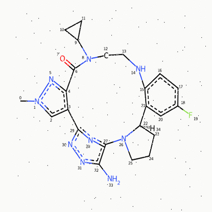 Cn1cc2c(n1)C(=O)N(C1CC1)CCNc1ccc(F)cc1[C@H]1CCCN1c1nc-2nnc1N